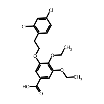 CCOc1cc(C(=O)O)cc(OCCc2ccc(Cl)cc2Cl)c1OCC